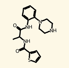 CC(NC(=O)c1cccs1)C(=O)Nc1ccccc1N1CCNCC1